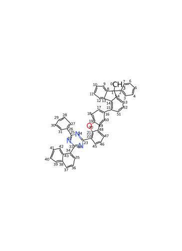 CC1(c2ccccc2)c2ccccc2-c2c(-c3ccc4oc5c(-c6nc(-c7ccccc7)nc(-c7cccc8ccccc78)n6)cccc5c4c3)cccc21